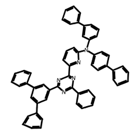 c1ccc(-c2ccc(N(c3cccc(-c4ccccc4)c3)c3cccc(-c4nc(-c5ccccc5)nc(-c5cc(-c6ccccc6)cc(-c6ccccc6)c5)n4)n3)cc2)cc1